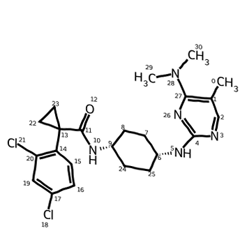 Cc1cnc(N[C@H]2CC[C@@H](NC(=O)C3(c4ccc(Cl)cc4Cl)CC3)CC2)nc1N(C)C